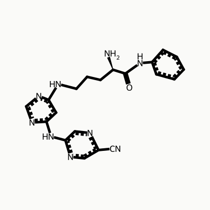 N#Cc1cnc(Nc2cc(NCCC[C@@H](N)C(=O)Nc3ccccc3)ncn2)cn1